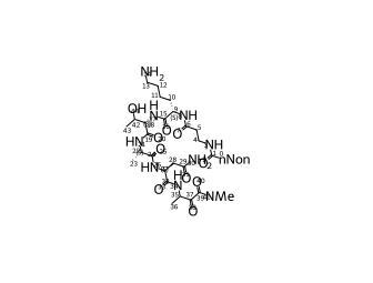 CCCCCCCCCC(=O)NCCC(=O)N[C@@H](CCCCN)C(=O)N[C@H](C(=O)N[C@@H](C)C(=O)N[C@@H](CC(N)=O)C(=O)NC(C)C(=O)C(=O)NC)C(C)O